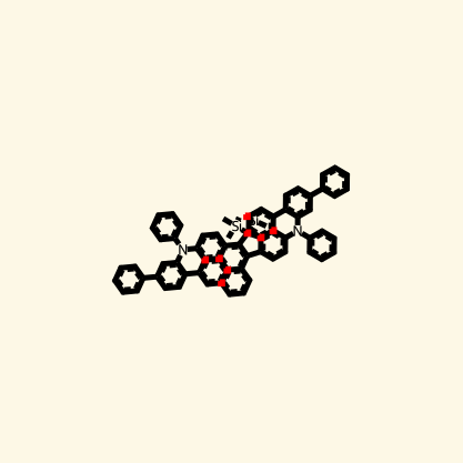 C[Si](C)(C)C1([Si](C)(C)C)c2cc(N(c3ccccc3)c3cc(-c4ccccc4)ccc3-c3ccccc3)ccc2-c2c1c1ccc(N(c3ccccc3)c3cc(-c4ccccc4)ccc3-c3ccccc3)cc1c1ccccc21